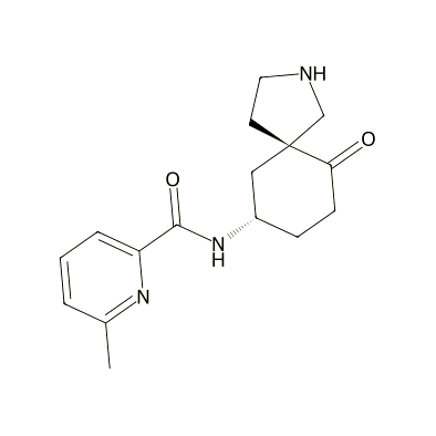 Cc1cccc(C(=O)N[C@H]2CCC(=O)[C@]3(CCNC3)C2)n1